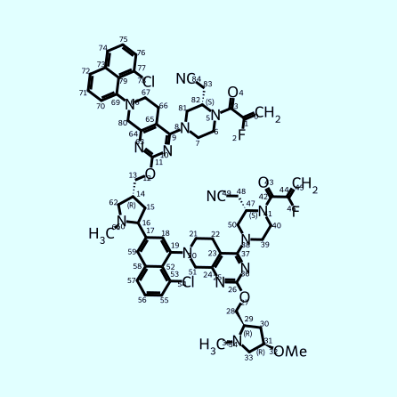 C=C(F)C(=O)N1CCN(c2nc(OC[C@@H]3CC(c4cc(N5CCc6c(nc(OC[C@H]7C[C@@H](OC)CN7C)nc6N6CCN(C(=O)C(=C)F)[C@@H](CC#N)C6)C5)c5c(Cl)cccc5c4)N(C)C3)nc3c2CCN(c2cccc4cccc(Cl)c24)C3)C[C@@H]1CC#N